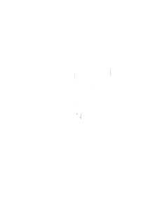 CCC[N+]1(OC(=O)C(F)(F)F)CCCCC1